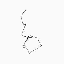 CCC[CH2][Al]1[CH2]CCC[O]1